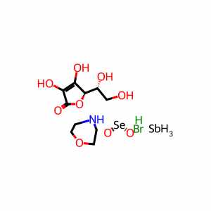 Br.C1COCCN1.O=C1O[C@H]([C@H](O)CO)C(O)=C1O.O=[Se]=O.[SbH3]